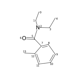 CCN(CC)C(=O)c1ccccc1C